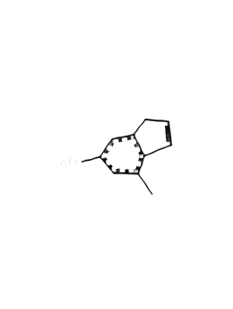 CCCc1cc(C)c2c(c1)CC=C2